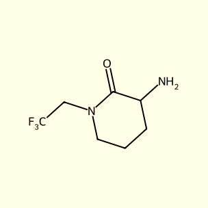 NC1CCCN(CC(F)(F)F)C1=O